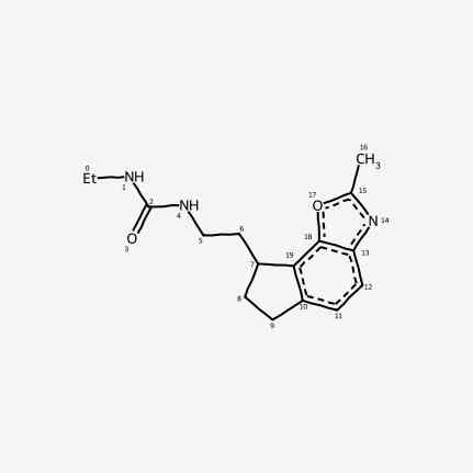 CCNC(=O)NCCC1CCc2ccc3nc(C)oc3c21